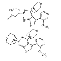 COc1ccccc1-c1csc2nc(N3C4CCC3COC4)nc(N3C4CCC3COC4)c12.COc1ccccc1-c1csc2nc(N3CCNC(=O)C3)nc(N3C4CCC3COC4)c12